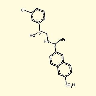 CCCN(NC[C@H](O)c1cccc(Cl)c1)c1ccc2cc(S(=O)(=O)O)ccc2c1